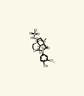 CCS(=O)(=O)N[C@H]1C[C@@]2(C)O[C@@]13CCO[C@H]1[C@@H]3[C@@H]2C(=O)N1c1ccc(C#N)c(C(F)(F)F)c1